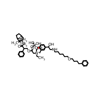 CC[N+](CC)(CC(=O)OCC(C(=O)OC1CC2CCC(C1)[N+]2(C)C(C)C)c1ccccc1)Cc1cc(C(O)CNCCCCCCOCCCCc2ccccc2)ccc1OP(=O)(O)O